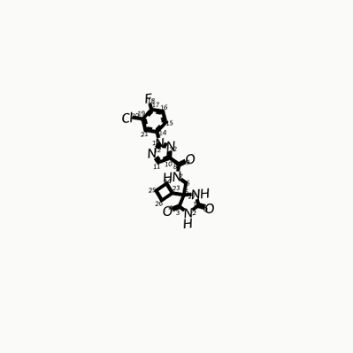 O=C1NC(=O)C(CNC(=O)c2cnn(-c3ccc(F)c(Cl)c3)n2)(C2CCC2)N1